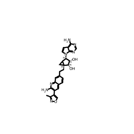 Cc1nocc1-c1cc2ccc(CC[C@@]34CC3[C@@H](n3ccc5c(N)ncnc53)[C@H](O)[C@@H]4O)cc2nc1N